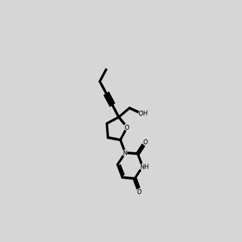 CCC#CC1(CO)CCC(n2ccc(=O)[nH]c2=O)O1